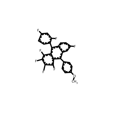 COc1ccc(-c2c3cc(F)ccc3c(-c3ccc(F)cc3F)c3c(F)c(F)c(F)c(F)c23)cc1